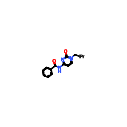 CC(C)Cn1ccc(NC(=O)c2ccccc2)nc1=O